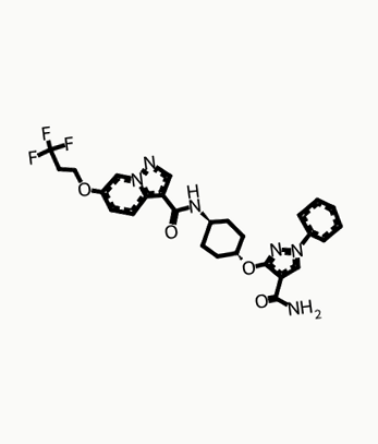 NC(=O)c1cn(-c2ccccc2)nc1O[C@H]1CC[C@H](NC(=O)c2cnn3cc(OCCC(F)(F)F)ccc23)CC1